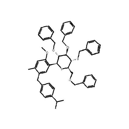 COc1cc(C)c(Cc2ccc(C(C)C)cc2)cc1[C@@H]1S[C@H](COCc2ccccc2)[C@@H](OCc2ccccc2)[C@H](OCc2ccccc2)[C@H]1OCc1ccccc1